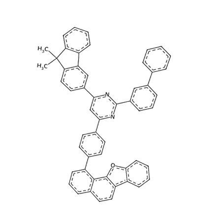 CC1(C)c2ccccc2-c2cc(-c3cc(-c4ccc(-c5cccc6ccc7c8ccccc8oc7c56)cc4)nc(-c4cccc(-c5ccccc5)c4)n3)ccc21